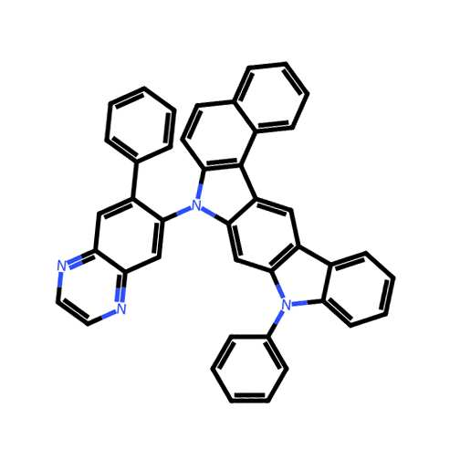 c1ccc(-c2cc3nccnc3cc2-n2c3cc4c(cc3c3c5ccccc5ccc32)c2ccccc2n4-c2ccccc2)cc1